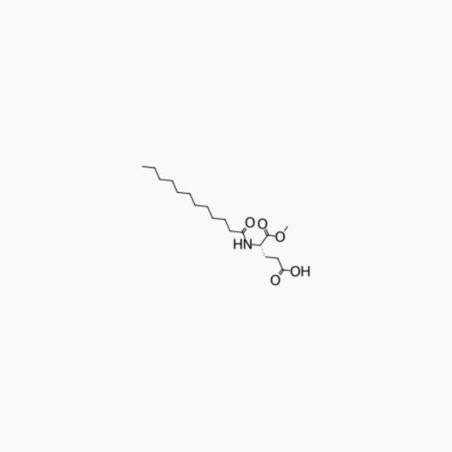 CCCCCCCCCCCC(=O)N[C@@H](CCC(=O)O)C(=O)OC